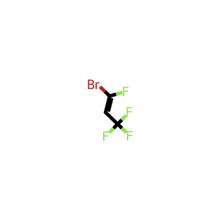 F/C(Br)=C\C(F)(F)F